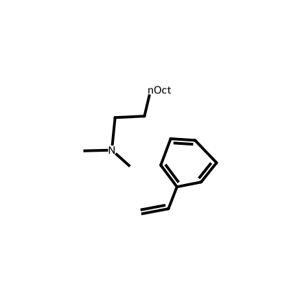 C=Cc1ccccc1.CCCCCCCCCCN(C)C